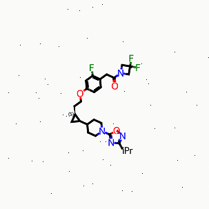 CC(C)c1noc(N2CCC(C3C[C@H]3CCOc3ccc(CC(=O)N4CC(F)(F)C4)c(F)c3)CC2)n1